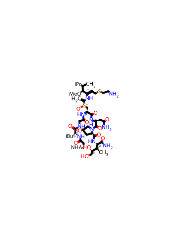 C=C(N/C(=C\CSCCN)C(OC)C(C)C(C)C)[S+]([O-])C[C@H](NC(=O)CNC(=O)[C@H](NC(=O)CNC(C)=O)[C@@H](C)CC)C(=O)N[C@@H](CC(N)=O)C(=O)N1C[C@H](O)C[C@@H]1C(=O)N[C@H](C(N)=O)[C@@H](C)[C@@H](O)CO